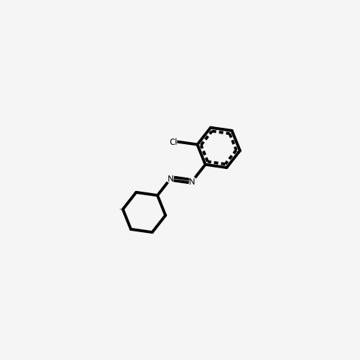 Clc1ccccc1N=NC1C[CH]CCC1